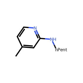 CCCCCNc1cc(C)ccn1